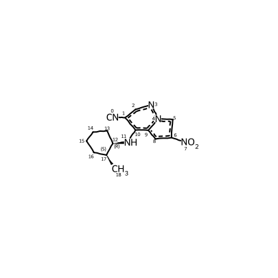 [C-]#[N+]c1cnn2cc([N+](=O)[O-])cc2c1N[C@@H]1CCCC[C@@H]1C